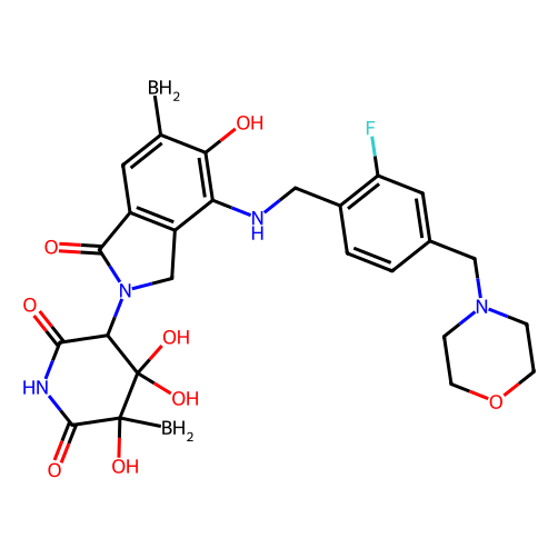 Bc1cc2c(c(NCc3ccc(CN4CCOCC4)cc3F)c1O)CN(C1C(=O)NC(=O)C(B)(O)C1(O)O)C2=O